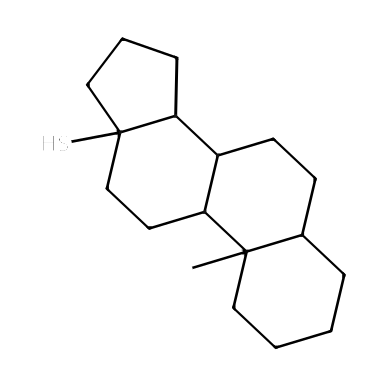 CC12CCCCC1CCC1C3CCCC3(S)CCC12